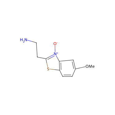 COc1ccc2sc(CCN)[n+]([O-])c2c1